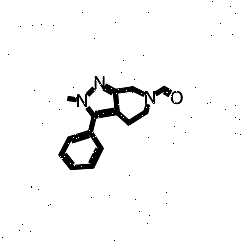 Cn1nc2c(c1-c1ccccc1)CCN(C=O)C2